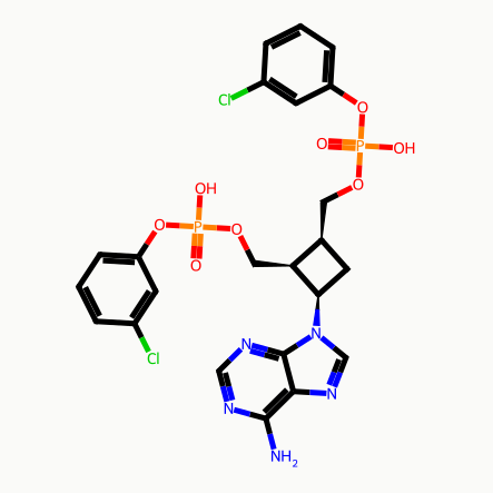 Nc1ncnc2c1ncn2[C@@H]1C[C@H](COP(=O)(O)Oc2cccc(Cl)c2)[C@@H]1COP(=O)(O)Oc1cccc(Cl)c1